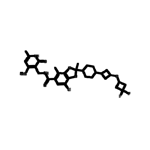 CSc1cc(C)[nH]c(=O)c1CNC(=O)c1cc(Cl)c2c(c1C)OC(C)(C1CCC(N3CC(OC4CC(F)(F)C4)C3)CC1)O2